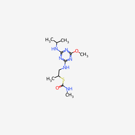 CNC(=O)SC(C)CNc1nc(NC(C)C)nc(OC)n1